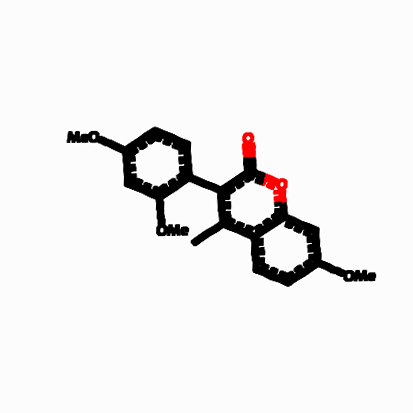 COc1ccc(-c2c(C)c3ccc(OC)cc3oc2=O)c(OC)c1